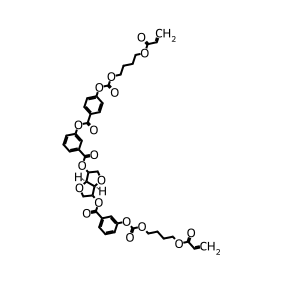 C=CC(=O)OCCCCOC(=O)Oc1ccc(C(=O)Oc2cccc(C(=O)OC3CO[C@H]4C(OC(=O)c5cccc(OC(=O)OCCCCOC(=O)C=C)c5)CO[C@@H]34)c2)cc1